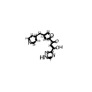 O=C(C=C(O)c1nc[nH]n1)c1cc(Cc2ccncc2)co1